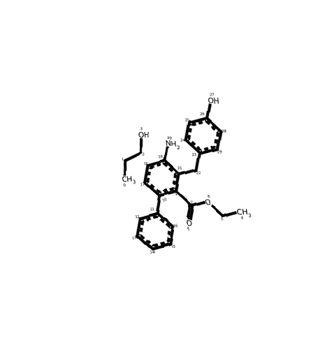 CCCO.CCOC(=O)c1c(-c2ccccc2)ccc(N)c1Cc1ccc(O)cc1